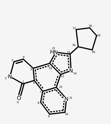 O=C1[N]C=Cc2c1c1cccnc1c1nc(C3CCCC3)[nH]c21